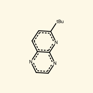 CC(C)(C)c1ccc2nccnc2n1